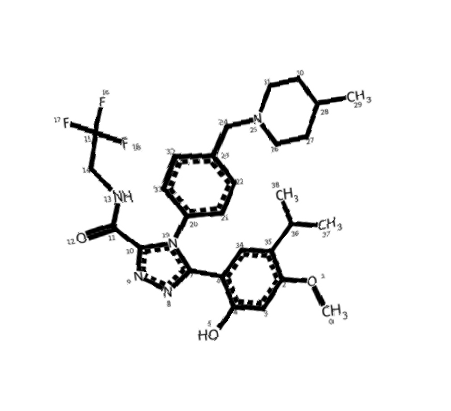 COc1cc(O)c(-c2nnc(C(=O)NCC(F)(F)F)n2-c2ccc(CN3CCC(C)CC3)cc2)cc1C(C)C